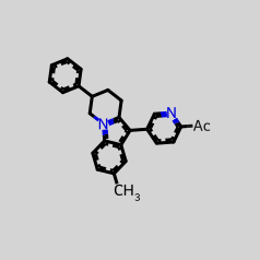 CC(=O)c1ccc(-c2c3n(c4ccc(C)cc24)CC(c2ccccc2)CC3)cn1